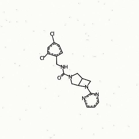 O=C(NCc1ccc(Cl)cc1Cl)N1CC2CN(c3ncccn3)C2C1